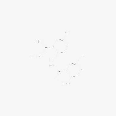 O.O=C(O)c1cc(O)ccc1O.O=C(O)c1cc(O)ccc1O